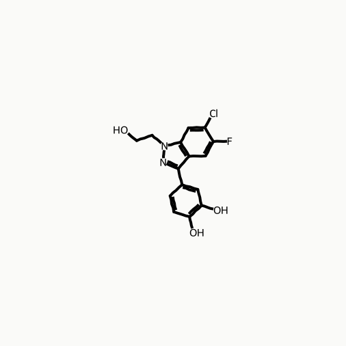 OCCn1nc(-c2ccc(O)c(O)c2)c2cc(F)c(Cl)cc21